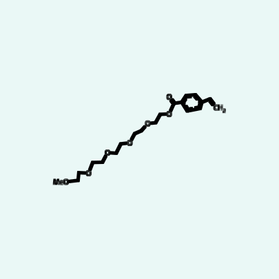 C=Cc1ccc(C(=O)OCCOCCOCCOCCOCCOC)cc1